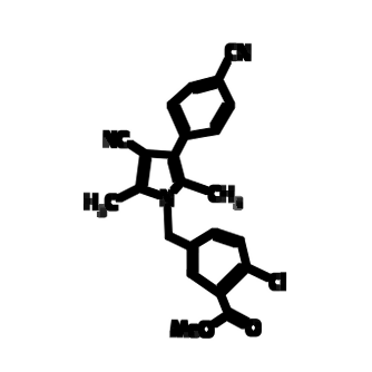 COC(=O)c1cc(Cn2c(C)c(C#N)c(-c3ccc(C#N)cc3)c2C)ccc1Cl